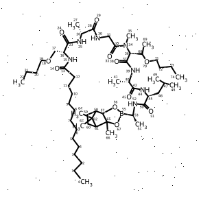 CCCCCCCCCCCCCC(=O)N[C@H](COCCCC)C(=O)N[C@H](C)C(=O)NCC(=O)N(C)[C@H](C(=O)N[C@@H](C)C(=O)N[C@@H](CC(C)C)C(=O)N[C@@H](C)B1OC2C3CCC(C3(C)C)C2(C)O1)C(C)OCCCC